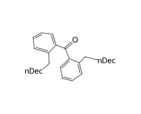 CCCCCCCCCCCc1ccccc1C(=O)c1ccccc1CCCCCCCCCCC